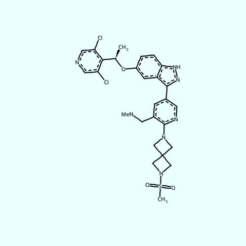 CNCc1cc(-c2n[nH]c3ccc(O[C@H](C)c4c(Cl)cncc4Cl)cc23)cnc1N1CC2(C1)CN(S(C)(=O)=O)C2